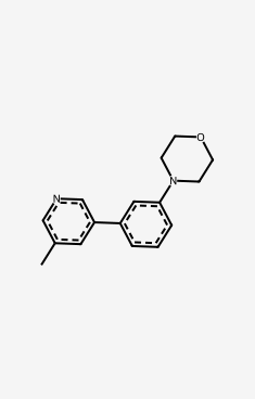 Cc1cncc(-c2cccc(N3CCOCC3)c2)c1